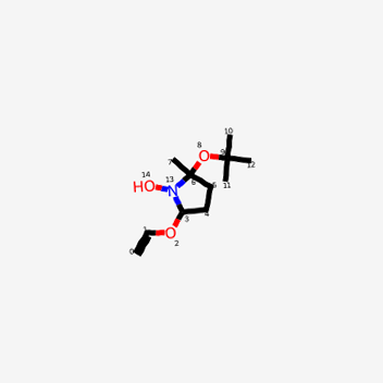 C=COC1CCC(C)(OC(C)(C)C)N1O